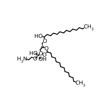 CCCCCCCCCCCCCC(O)OC[C@H](COP(=O)(O)OCCN)OC(O)CCCCCCCCCCCCC